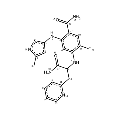 Cc1cc(Nc2cc(NC(Cc3ccccn3)C(N)=O)c(F)cc2C(N)=O)sn1